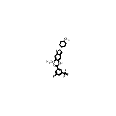 COc1cc2nn([C@H]3CC[C@H](C)CC3)cc2cc1NC(=O)c1cc(F)cc(C(F)(F)F)c1